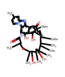 COc1c(C)c(O)c2c(O)c3c4c(nc5cc(C)ccn54)c2c1C(=O)C/C=C/C(OC)C(C)C(OC(C)=O)C(C)C(O)C(C)C(O)C(C)/C=C/C=C(/C)C(=O)N3